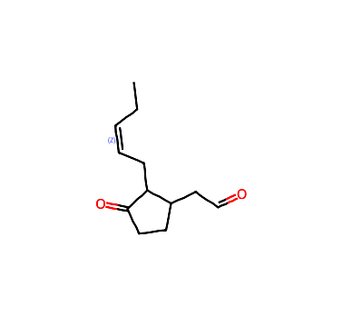 CC/C=C\CC1C(=O)CCC1CC=O